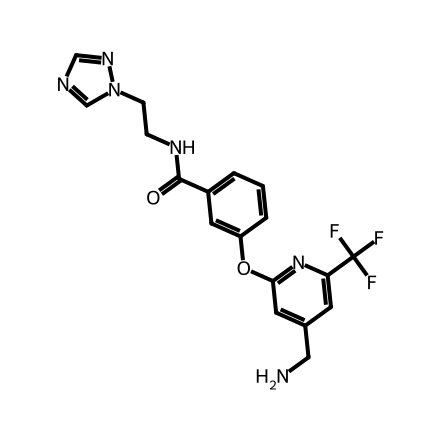 NCc1cc(Oc2cccc(C(=O)NCCn3cncn3)c2)nc(C(F)(F)F)c1